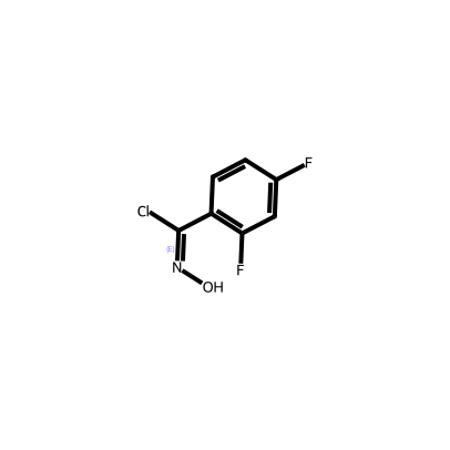 O/N=C(/Cl)c1ccc(F)cc1F